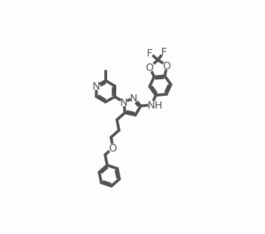 Cc1cc(-n2nc(Nc3ccc4c(c3)OC(F)(F)O4)cc2CCCOCc2ccccc2)ccn1